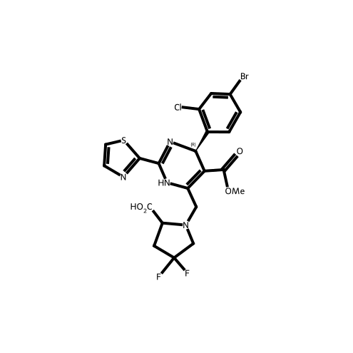 COC(=O)C1=C(CN2CC(F)(F)CC2C(=O)O)NC(c2nccs2)=N[C@H]1c1ccc(Br)cc1Cl